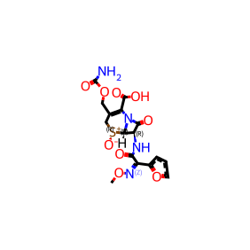 CO/N=C(\C(=O)N[C@@H]1C(=O)N2C(C(=O)O)=C(COC(N)=O)C[S@+]([O-])[C@H]12)c1ccco1